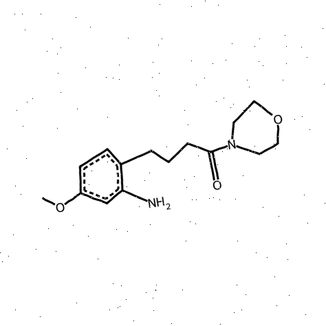 COc1ccc(CCCC(=O)N2CCOCC2)c(N)c1